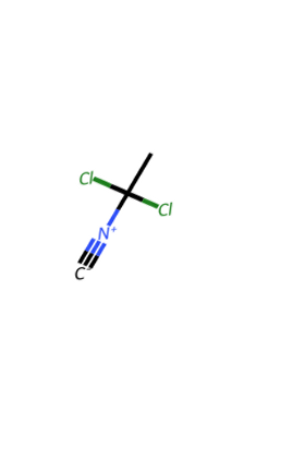 [C-]#[N+]C(C)(Cl)Cl